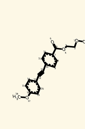 COCCOC(=O)c1ccc(C#Cc2ccc(OC)cc2)cc1